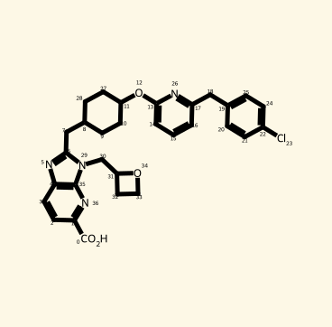 O=C(O)c1ccc2nc(CC3CCC(Oc4cccc(Cc5ccc(Cl)cc5)n4)CC3)n(CC3CCO3)c2n1